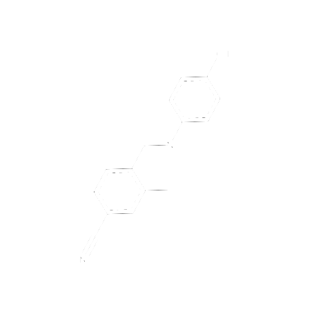 Cc1ccc(NCc2ccc(C#N)cc2F)cc1